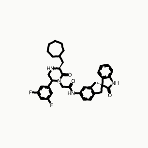 O=C(CN1C(=O)[C@H](CC2CCCCCC2)NCC1c1cc(F)cc(F)c1)Nc1ccc2c(c1)C[C@@]1(C2)C(=O)Nc2ccccc21